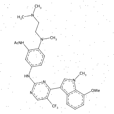 COc1cccc2c(-c3nc(Nc4ccc(N(C)CCN(C)C)c(NC(C)=O)c4)ncc3C(F)(F)F)cn(C)c12